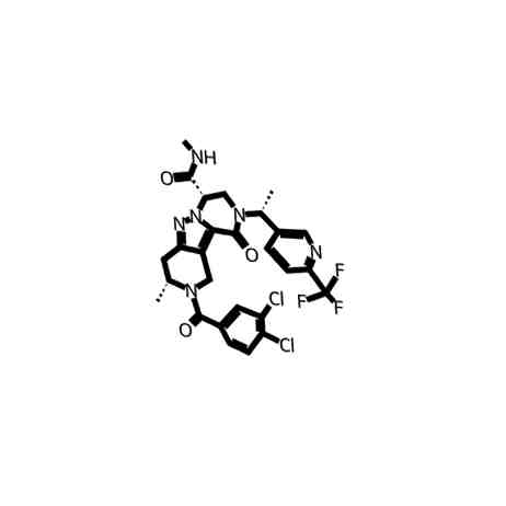 CNC(=O)[C@@H]1CN([C@H](C)c2ccc(C(F)(F)F)nc2)C(=O)c2c3c(nn21)C[C@@H](C)N(C(=O)c1ccc(Cl)c(Cl)c1)C3